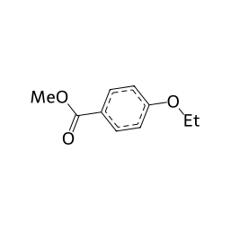 CCOc1ccc(C(=O)OC)cc1